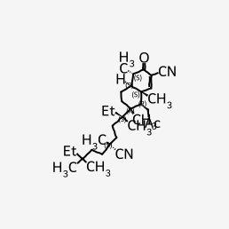 CCC(C)(C)CC[C@](C)(C#N)CC[C@](C)(CC)[C@]1(C)CC[C@H]2[C@H](C)C(=O)C(C#N)=C[C@]2(C)[C@H]1CC(C)=O